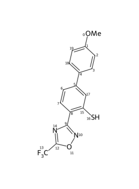 COc1ccc(-c2ccc(-c3noc(C(F)(F)F)n3)c(S)c2)cc1